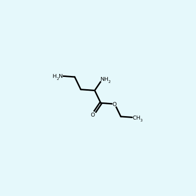 CCOC(=O)C(N)CCN